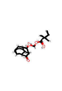 CCC(C)(C)C(=O)OCOC1C2CC3CC(C2)C(=O)C1C3